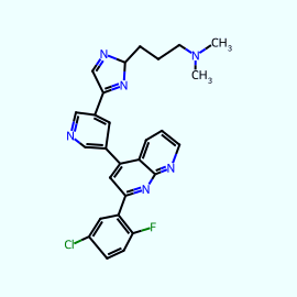 CN(C)CCCC1N=CC(c2cncc(-c3cc(-c4cc(Cl)ccc4F)nc4ncccc34)c2)=N1